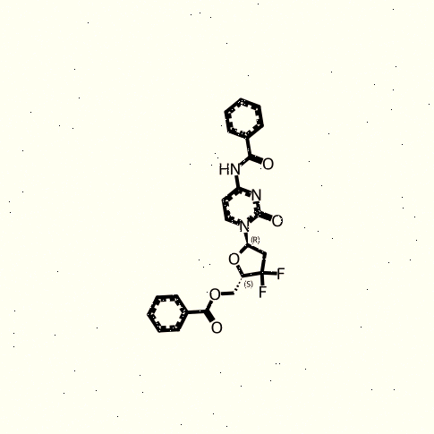 O=C(Nc1ccn([C@H]2CC(F)(F)[C@H](COC(=O)c3ccccc3)O2)c(=O)n1)c1ccccc1